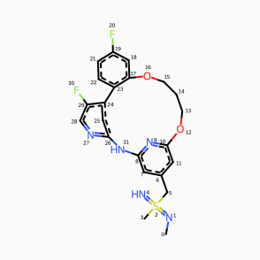 CN=S(C)(=N)Cc1cc2nc(c1)OCCCOc1cc(F)ccc1-c1cc(ncc1F)N2